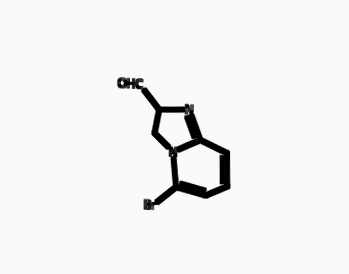 O=CC1CN2C(Br)=CC=CC2=N1